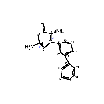 C=C/C(N)=C(\C=C(/C)N)c1cccc(-c2ccccc2)c1